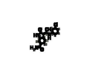 CC(Nc1cccc(Cl)c1)=C1C(=O)Nc2cc(C(N)=O)ccc21